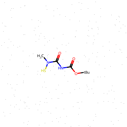 CN(S)C(=O)NC(=O)OC(C)(C)C